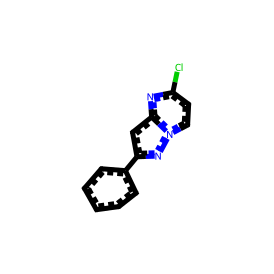 Clc1ccn2nc(-c3ccccc3)cc2n1